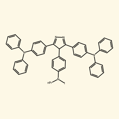 CCCN(I)c1ccc(C2C(c3ccc(N(c4ccccc4)c4ccccc4)cc3)=NN=C2c2ccc(N(c3ccccc3)c3ccccc3)cc2)cc1